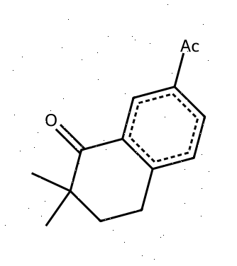 CC(=O)c1ccc2c(c1)C(=O)C(C)(C)CC2